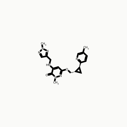 Cc1ccc([C@H]2C[C@@H]2COc2cc(NCc3cnn(C)n3)c(=O)n(C)n2)nc1